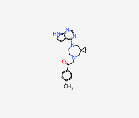 Cc1ccc(C(=O)CN2CCN(c3ncnc4[nH]ccc34)CC3(CC3)C2)cc1